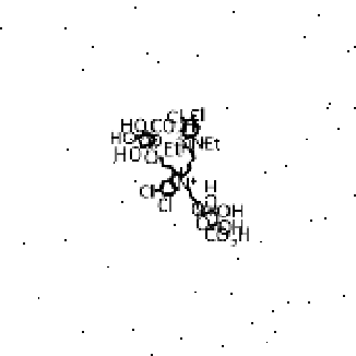 CCN1C(=CC=Cc2n(CCCO[C@@H]3OC(C(=O)O)[C@@H](O)[C@@H](O)C3O)c3cc(Cl)c(Cl)cc3[n+]2CCCO[C@H]2OC(C(=O)O)[C@H](O)C(O)[C@H]2O)N(CC)c2cc(Cl)c(Cl)cc21